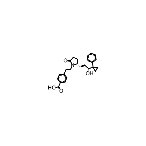 O=C(O)c1ccc(CCN2C(=O)CC[C@@H]2/C=C/[C@@H](O)C2(c3ccccc3)CC2)cc1